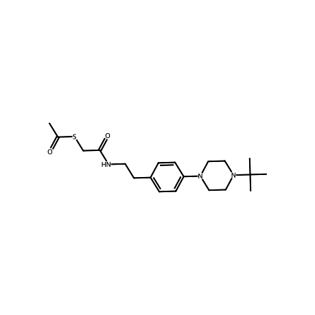 CC(=O)SCC(=O)NCCc1ccc(N2CCN(C(C)(C)C)CC2)cc1